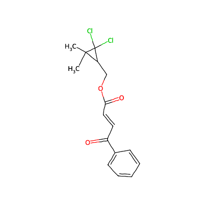 CC1(C)C(COC(=O)C=CC(=O)c2ccccc2)C1(Cl)Cl